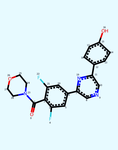 O=C(c1c(F)cc(-c2cncc(-c3ccc(O)cc3)n2)cc1F)N1CCOCC1